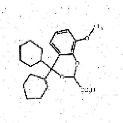 O=C(O)C1Oc2c(OC(F)(F)F)cccc2C(C2CCCCC2)(C2CCCCC2)O1